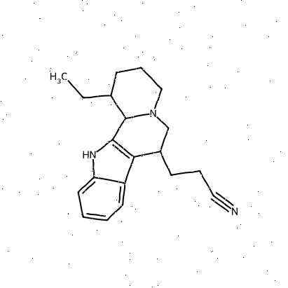 CCC1CCCN2CC(CCC#N)c3c([nH]c4ccccc34)C12